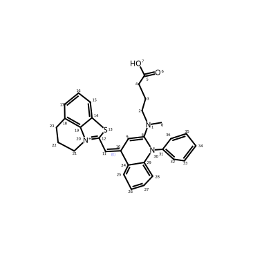 CN(CCCC(=O)O)C1=C/C(=C\c2sc3cccc4c3[n+]2CCC4)c2ccccc2N1c1ccccc1